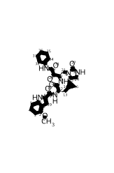 COc1cccc2[nH]c(C(=O)N[C@@H](CC3CC3)C(=O)N[C@@H](CN3CCNC3=O)C(=O)C(=O)Nc3ccccc3)cc12